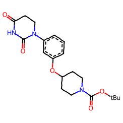 CC(C)(C)OC(=O)N1CCC(Oc2cccc(N3CCC(=O)NC3=O)c2)CC1